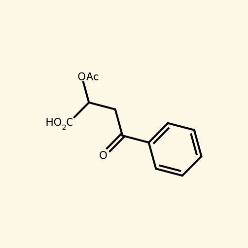 CC(=O)OC(CC(=O)c1ccccc1)C(=O)O